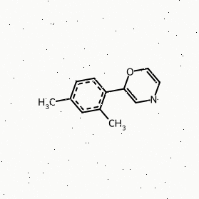 Cc1ccc(C2=C[N]C=CO2)c(C)c1